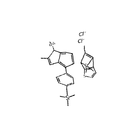 CC1=C2c3ccsc3C1[Si]2(C)C.CC1=Cc2c(-c3ccc([Si](C)(C)C)cc3)cccc2[CH]1[Zr+2].[Cl-].[Cl-]